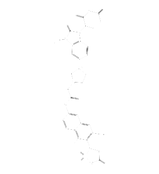 Cn1c(=O)n(C2CCC(=O)NC2=O)c2ccc([C@@H]3CCN(CC(=O)Nc4ccc5c(F)c(N6CC(=O)NS6(=O)=O)c(O)cc5c4)C3)cc21